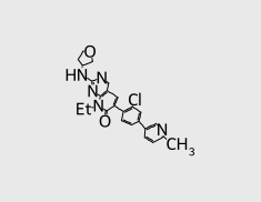 CCn1c(=O)c(-c2ccc(-c3ccc(C)nc3)cc2Cl)cc2cnc(N[C@@H]3CCOC3)nc21